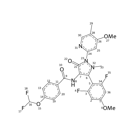 COc1cc(F)c(-c2c(NC(=O)c3ccc(OC(F)F)cc3)c(=O)n(-c3cc(OC)c(C)cn3)n2C)c(F)c1